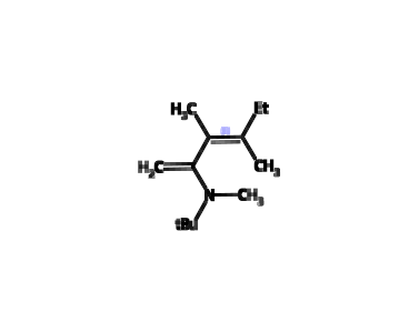 C=C(/C(C)=C(\C)CC)N(C)C(C)(C)C